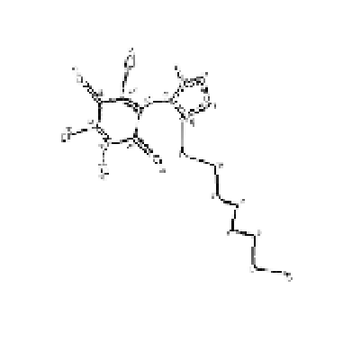 CCCCCCCCn1ccnc1C1=C(Cl)C(=O)C(Cl)=C(Cl)C1=O